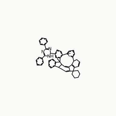 CC12c3cc(C4N=C(c5ccccc5)N=C(c5ccccc5)N4)ccc3-c3cccc(c3)C3CC=CC4=C3C3=CC1C(C=C3C41CCCCC1)c1ccccc12